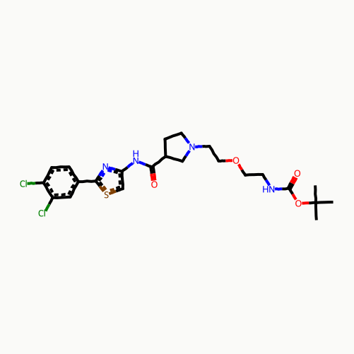 CC(C)(C)OC(=O)NCCOCCN1CCC(C(=O)Nc2csc(-c3ccc(Cl)c(Cl)c3)n2)C1